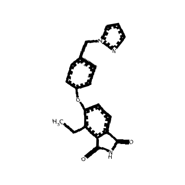 CCc1c(Oc2ccc(Cn3cccn3)cc2)ccc2c1C(=O)NC2=O